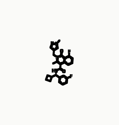 Cc1c(C(=O)N[C@H](c2cccc(F)c2)C2CCC2)c2cccc(F)c2c(=O)n1Cc1cnn(C)c1